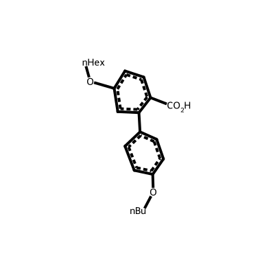 CCCCCCOc1ccc(C(=O)O)c(-c2ccc(OCCCC)cc2)c1